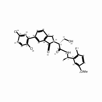 COc1ccc(F)c([C@@H](C)NC(=O)[C@@H](CO)N2Cc3ccc(-c4nc(Cl)ncc4Cl)cc3C2=O)c1